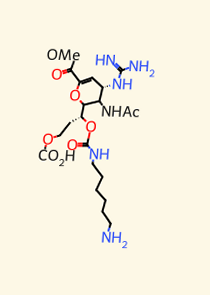 COC(=O)C1=C[C@H](NC(=N)N)C(NC(C)=O)C([C@@H](CCOC(=O)O)OC(=O)NCCCCCCN)O1